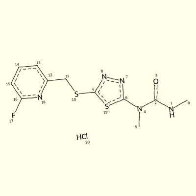 CNC(=O)N(C)c1nnc(SCc2cccc(F)n2)s1.Cl